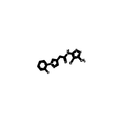 Cc1nsc(NC(=O)Cc2cnn(-c3ccccc3Cl)c2)c1Cl